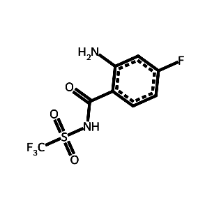 Nc1cc(F)ccc1C(=O)NS(=O)(=O)C(F)(F)F